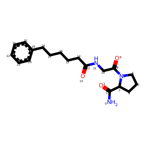 NC(=O)C1CCCN1C(=O)CNC(=O)CCCCCc1ccccc1